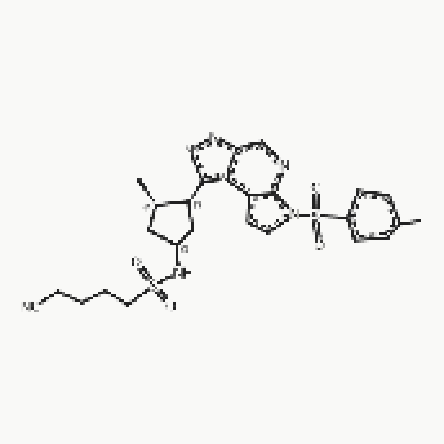 Cc1ccc(S(=O)(=O)n2ccc3c2ncc2nnc([C@H]4C[C@@H](NS(=O)(=O)CCCCC#N)C[C@H]4C)n23)cc1